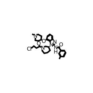 Cc1cccc(C(=O)Nc2nc3cccc(OC4CCN(C)CC4)c3n2[C@@H]2CCCCN(C(=O)CCCl)C2)c1